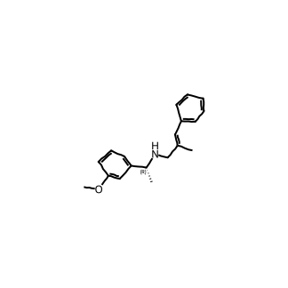 COc1cccc([C@@H](C)NCC(C)=Cc2ccccc2)c1